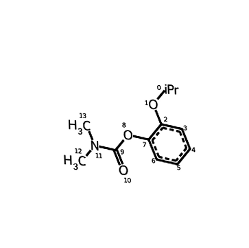 CC(C)Oc1ccccc1OC(=O)N(C)C